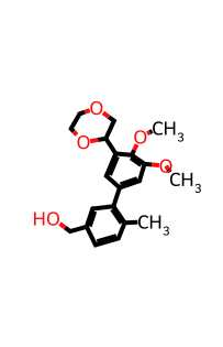 COc1cc(-c2cc(CO)ccc2C)cc(C2COCCO2)c1OC